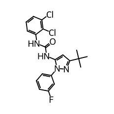 CC(C)(C)c1cc(NC(=O)Nc2cccc(Cl)c2Cl)n(-c2cccc(F)c2)n1